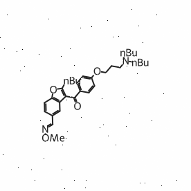 CCCCc1oc2ccc(/C=N/OC)cc2c1C(=O)c1ccc(OCCCN(CCCC)CCCC)cc1